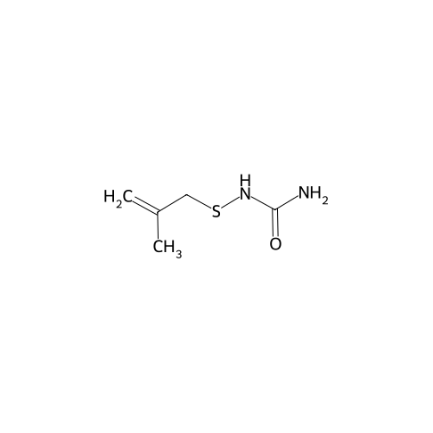 C=C(C)CSNC(N)=O